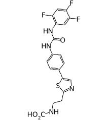 O=C(O)NCCc1ncc(-c2ccc(NC(=O)Nc3cc(F)c(F)cc3F)cc2)s1